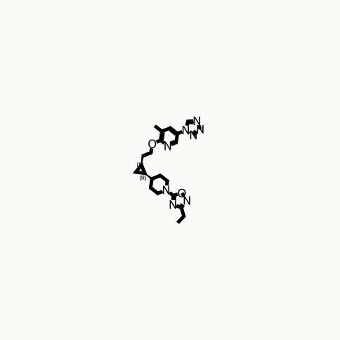 CCc1noc(N2CCC([C@H]3C[C@H]3CCOc3ncc(-n4cnnn4)cc3C)CC2)n1